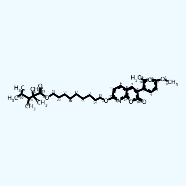 COc1ccc(-c2cc3ccc(OCCCCCCCCCOC(=O)C(C)(C)C(C)C(C)C)nc3oc2=O)c(C)c1